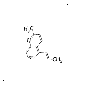 C/C=C/c1cccc2nc(C)ccc12